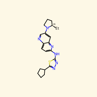 CC[C@@H]1CCCN1c1cnc2ccc(Nc3nnc(C4CCCC4)s3)nc2c1